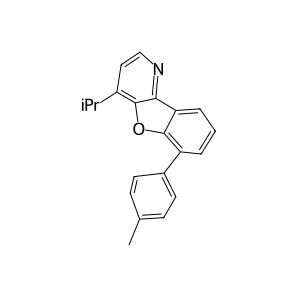 Cc1ccc(-c2cccc3c2oc2c(C(C)C)ccnc23)cc1